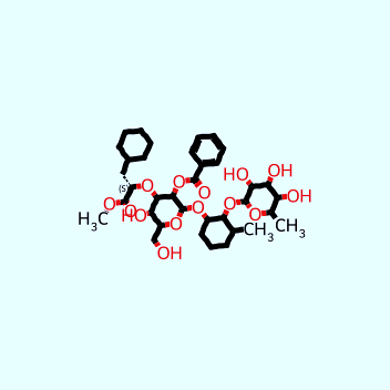 COC(=O)[C@H](CC1CCCCC1)OC1C(O)C(CO)OC(OC2CCCC(C)C2OC2OC(C)C(O)C(O)C2O)C1OC(=O)c1ccccc1